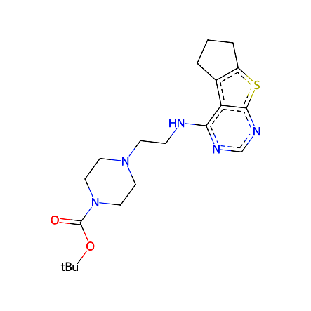 CC(C)(C)OC(=O)N1CCN(CCNc2ncnc3sc4c(c23)CCC4)CC1